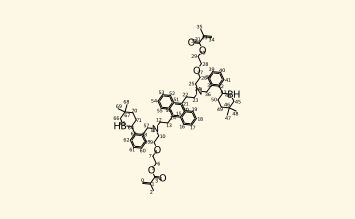 C=C(C)C(=O)OCCOCCN(CCc1c2ccccc2c(CCN(CCOCCOC(=O)C(=C)C)Cc2ccccc2C2BCC(C)(C)CC2)c2ccccc12)Cc1ccccc1C1BCC(C)(C)CC1